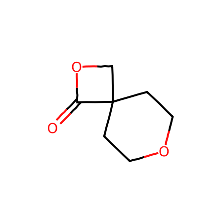 O=C1OCC12CCOCC2